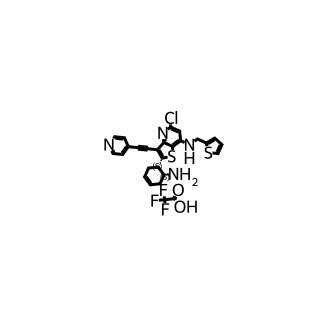 N[C@H]1CC=CC[C@@H]1c1sc2c(NCc3cccs3)cc(Cl)nc2c1C#Cc1ccncc1.O=C(O)C(F)(F)F